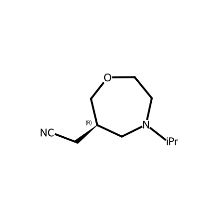 CC(C)N1CCOC[C@H](CC#N)C1